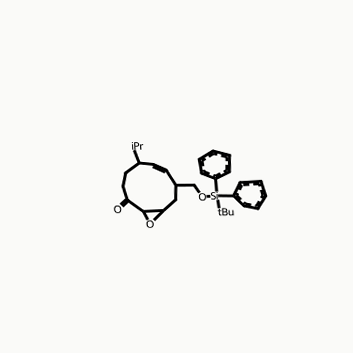 CC(C)C1C=CC(CO[Si](c2ccccc2)(c2ccccc2)C(C)(C)C)CC2OC2C(=O)CC1